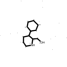 OCC1NCCCC1C1CCCCC1